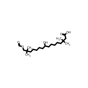 CC(C)(CCCCCC(O)CCCCCC(C)(C)CC(=O)O)COC=O